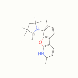 Cc1ccc2c3c(oc2c1N1[C@@H](C)C(C)(C)CC1(C)C)NC(C)C=C3